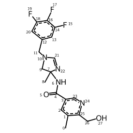 Cc1cc(C(=O)NC2(C)CN(Cc3cc(F)c(F)c(F)c3)C=N2)cnc1CO